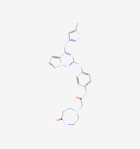 Cc1cc(Nc2nc(Sc3ccc(NC(=O)CN4CCNC(=O)CC4)cc3)nn3cccc23)n[nH]1